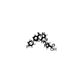 CC(c1ccc(N2CCC(F)CC2)cc1)n1ncc2nc(-n3cc(C(=O)O)cn3)nc(O)c21